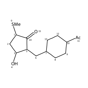 CSC1CC(O)C(CC2CCC(C(C)=O)CC2)C1=O